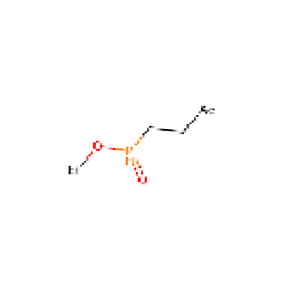 CCO[PH](=O)CCC(C)=O